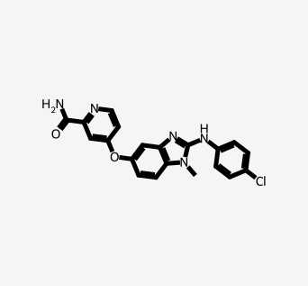 Cn1c(Nc2ccc(Cl)cc2)nc2cc(Oc3ccnc(C(N)=O)c3)ccc21